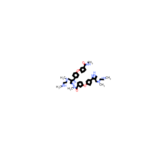 CNCCN(C)Cc1c[nH]nc1-c1ccc(Oc2cccc(C(=O)N(C)n3cc(CN(C)CCNC)c(-c4ccc(Oc5cccc(C(=O)NC)c5)cc4)n3)c2)cc1